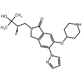 CC(C)(O)[C@H](F)CN1Cc2cc(-n3cccn3)c(OC3CCNCC3)cc2C1=O